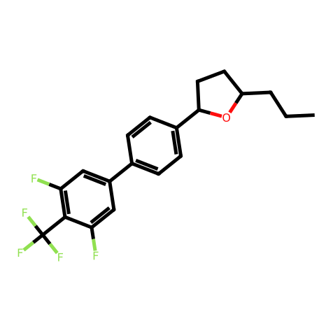 CCCC1CCC(c2ccc(-c3cc(F)c(C(F)(F)F)c(F)c3)cc2)O1